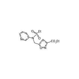 CCOC(=O)c1cc(CN(c2cccnc2)S(=O)(=O)CC)on1